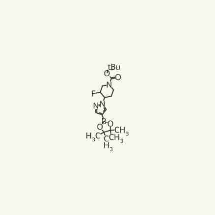 CC(C)(C)OC(=O)N1CCC(n2cc(B3OC(C)(C)C(C)(C)O3)cn2)C(F)C1